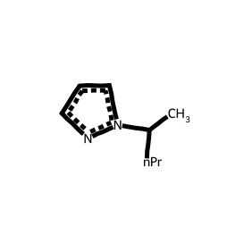 CCCC(C)n1cccn1